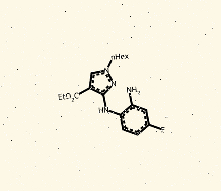 CCCCCCn1cc(C(=O)OCC)c(Nc2ccc(F)cc2N)n1